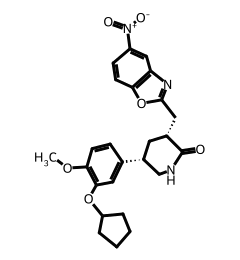 COc1ccc([C@H]2CNC(=O)[C@@H](Cc3nc4cc([N+](=O)[O-])ccc4o3)C2)cc1OC1CCCC1